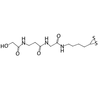 O=C(CO)NCCC(=O)NCC(=O)NCCCCC1SS1